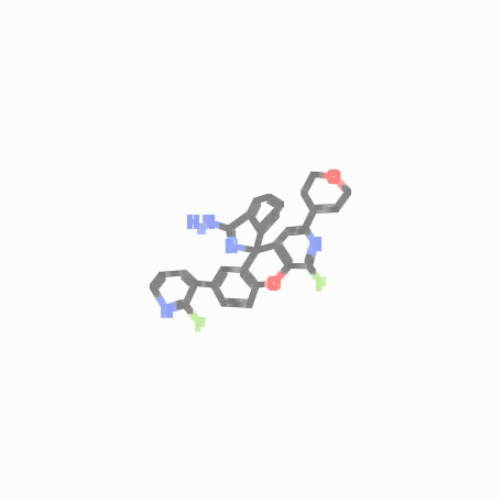 NC1=NC2(c3cc(-c4cccnc4F)ccc3Oc3c2cc(C2=CCOCC2)nc3F)c2ccccc21